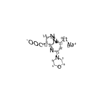 CCc1cc(N2CCOCC2)nc2c(C(=O)[O-])cnn12.[Na+]